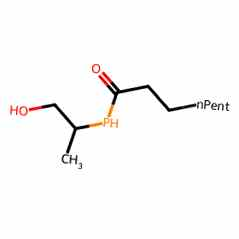 CCCCCCCC(=O)PC(C)CO